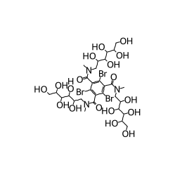 CN(CC(O)C(O)C(O)C(O)CO)C(=O)c1c(Br)c(C(=O)N(C)CC(O)C(O)C(O)C(O)CO)c(Br)c(C(=O)N(C)CC(O)C(O)C(O)C(O)CO)c1Br